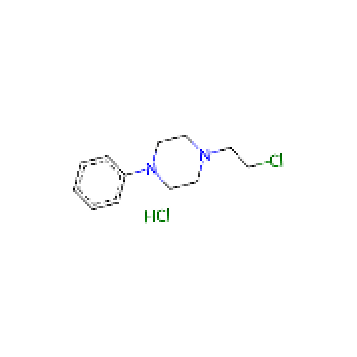 Cl.ClCCN1CCN(c2ccccc2)CC1